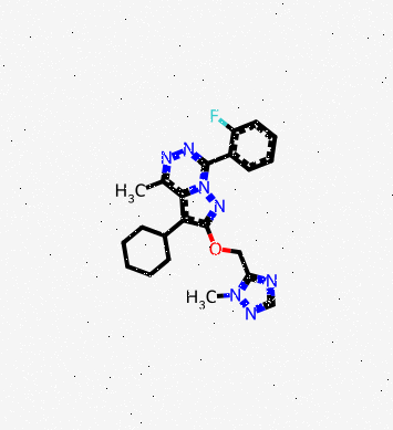 Cc1nnc(-c2ccccc2F)n2nc(OCc3ncnn3C)c(C3CCCCC3)c12